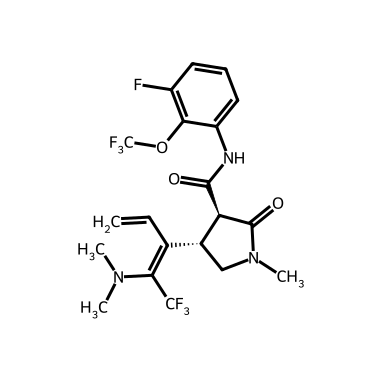 C=C/C(=C(\N(C)C)C(F)(F)F)[C@H]1CN(C)C(=O)[C@@H]1C(=O)Nc1cccc(F)c1OC(F)(F)F